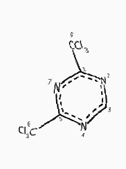 ClC(Cl)(Cl)c1ncnc(C(Cl)(Cl)Cl)n1